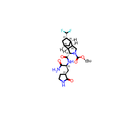 CC(C)(C)OC(=O)N1C[C@@H]2[C@H]3C[C@H](C[C@@H]3C(F)F)[C@@H]2[C@H]1C(=O)N[C@@H](C[C@@H]1CCNC1=O)C(N)=O